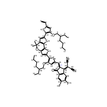 C=Cc1cc(OCC(CC)CCCC)c(-c2cc3c(s2)-c2sc(-c4sc(/C=C5\C(=O)c6cc(F)c(F)cc6C5=C(C#N)C#N)cc4OCC(CC)CCCC)cc2OC3(C)C)s1